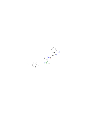 Cl.Cl.N#Cc1ccc(CCCN2CCC(NC(=O)C3=Cc4n[nH]c5cccc(c45)S3)CC2)cc1